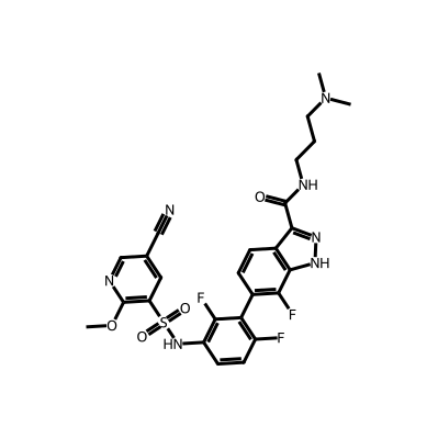 COc1ncc(C#N)cc1S(=O)(=O)Nc1ccc(F)c(-c2ccc3c(C(=O)NCCCN(C)C)n[nH]c3c2F)c1F